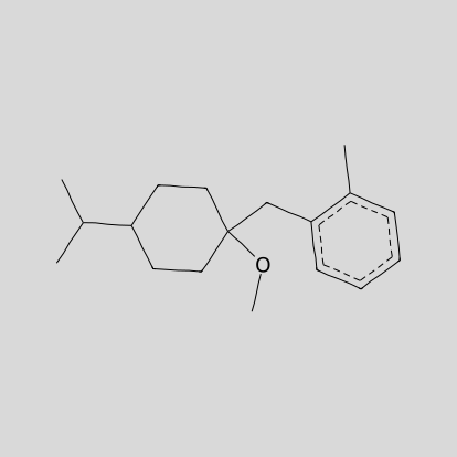 COC1(Cc2ccccc2C)CCC(C(C)C)CC1